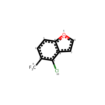 FC(F)(F)c1ccc2o[c]cc2c1Cl